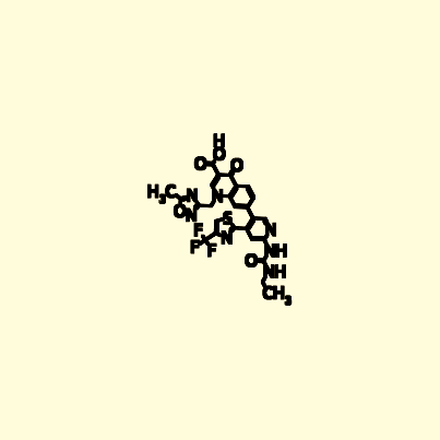 CCNC(=O)Nc1cc(-c2nc(C(F)(F)F)cs2)c(-c2ccc3c(=O)c(C(=O)O)cn(Cc4noc(C)n4)c3c2)cn1